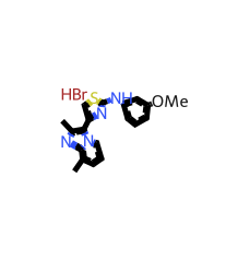 Br.COc1cccc(Nc2nc(-c3c(C)nc4c(C)cccn34)cs2)c1